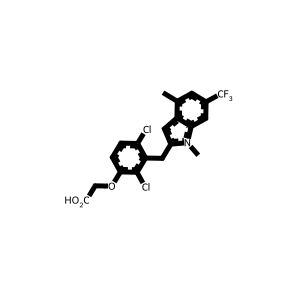 Cc1cc(C(F)(F)F)cc2c1cc(Cc1c(Cl)ccc(OCC(=O)O)c1Cl)n2C